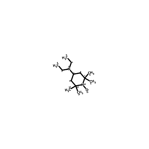 CCN(CC)C1CC(C)(C)N([O])C(C)(C)C1